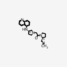 CN=C[C@@H]1CCCN1C(=O)CN1CC[C@H](Nc2cccc3ncccc23)C1